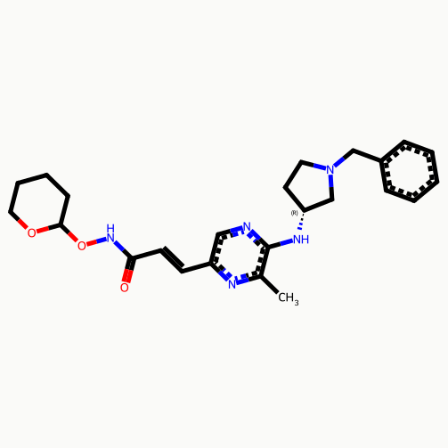 Cc1nc(C=CC(=O)NOC2CCCCO2)cnc1N[C@@H]1CCN(Cc2ccccc2)C1